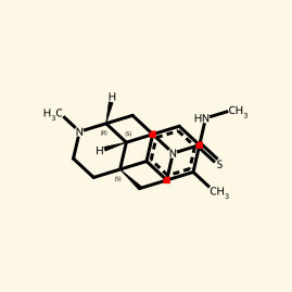 CNC(=S)N1CC[C@]23CCN(C)[C@H](Cc4ccc(C)cc42)[C@@H]3C1